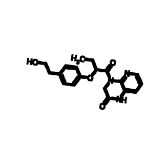 CCC(Oc1ccc(CCO)cc1)C(=O)N1CC(=O)Nc2cccnc21